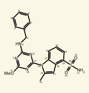 COc1nc(NCc2ccccc2)nc(-n2c(C)cc3c(S(N)(=O)=O)cccc32)n1